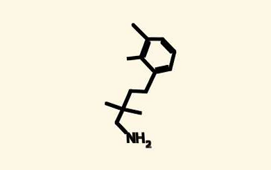 Cc1cccc(CCC(C)(C)CN)c1C